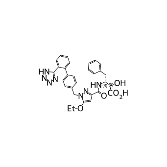 CCOc1cc(C(=O)N[C@H](Cc2ccccc2)[C@@H](O)C(=O)O)nn1Cc1ccc(-c2ccccc2-c2nnn[nH]2)cc1